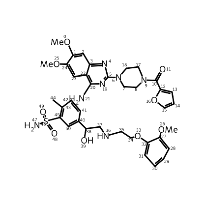 COc1cc2nc(N3CCN(C(=O)c4ccco4)CC3)nc(N)c2cc1OC.COc1ccccc1OCCNCC(O)c1ccc(C)c(S(N)(=O)=O)c1